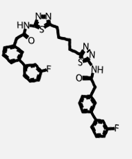 O=C(Cc1cccc(-c2cccc(F)c2)c1)Nc1nnc(CCCCc2nnc(NC(=O)Cc3cccc(-c4cccc(F)c4)c3)s2)s1